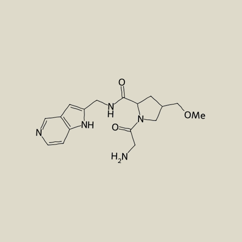 COCC1CC(C(=O)NCc2cc3cnccc3[nH]2)N(C(=O)CN)C1